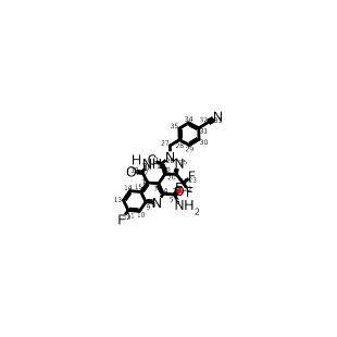 Cc1c(-c2c(C(N)=O)nc3cc(F)ccc3c2C(N)=O)c(C(F)(F)F)nn1Cc1ccc(C#N)cc1